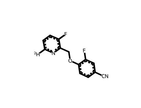 [2H]c1ccc(F)c(COc2ccc(C#N)cc2F)n1